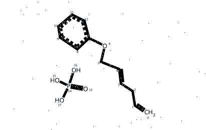 C=CCC=CCOc1ccccc1.O=P(O)(O)O